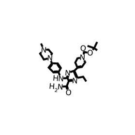 CCc1nc(C(N)=O)c(Nc2ccc(N3CCN(C)CC3)cc2)nc1C1=CCN(C(=O)OC(C)(C)C)CC1